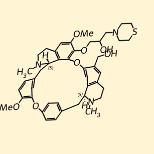 COc1ccc2cc1Oc1ccc(cc1)C[C@H]1c3cc(c(CO)cc3CCN1C)Oc1c(OCC(O)CN3CCSCC3)c(OC)cc3c1[C@H](C2)N(C)CC3